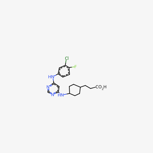 O=C(O)CCC1CCC(Nc2cc(Nc3ccc(F)c(Cl)c3)ncn2)CC1